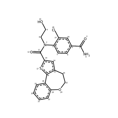 NC(=O)c1ccc(N(CCO)C(=O)c2cc3c(s2)-c2ccccc2OCC3)c(Cl)c1